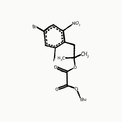 CC(C)(C)OC(=O)C(=O)OC(C)(C)Cc1c(F)cc(Br)cc1[N+](=O)[O-]